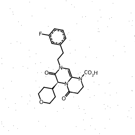 O=C1[C@H](C2CCOCC2)N2C(=O)CCN(C(=O)O)C2=CN1CCc1cccc(F)c1